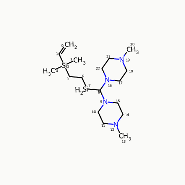 C=C[Si](C)(C)CC[SiH2]C(N1CCN(C)CC1)N1CCN(C)CC1